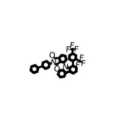 O=C1c2cccc(-n3c4ccccc4c4cccc(-c5ccc(C(F)(F)F)cc5C(F)(F)F)c43)c2C(=O)N1c1ccc(-c2ccccc2)cc1